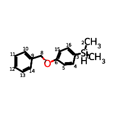 C[SiH](C)c1ccc(OCc2ccccc2)cc1